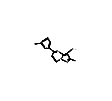 Cc1cccc(-c2ccn3nc(C)c(C(C)(C)C)c3n2)c1